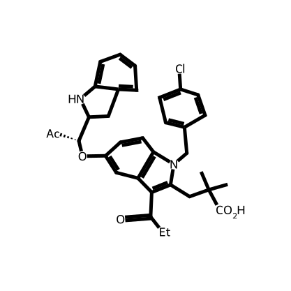 CCC(=O)c1c(CC(C)(C)C(=O)O)n(Cc2ccc(Cl)cc2)c2ccc(O[C@H](C(C)=O)C3Cc4ccccc4N3)cc12